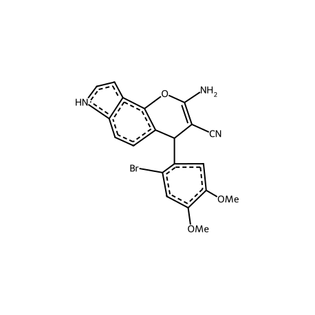 COc1cc(Br)c(C2C(C#N)=C(N)Oc3c2ccc2[nH]ccc32)cc1OC